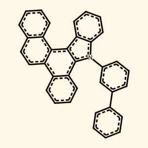 c1ccc(-c2cccc(-n3c4ccccc4c4c5c6ccccc6ccc5c5ccccc5c43)c2)cc1